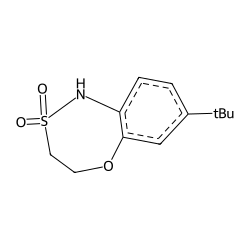 CC(C)(C)c1ccc2c(c1)OCCS(=O)(=O)N2